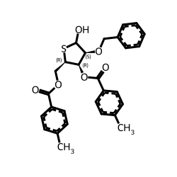 Cc1ccc(C(=O)OC[C@H]2SC(O)[C@@H](OCc3ccccc3)[C@H]2OC(=O)c2ccc(C)cc2)cc1